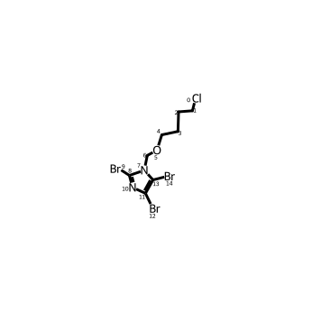 ClCCCCOCn1c(Br)nc(Br)c1Br